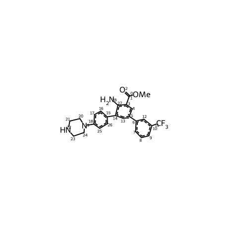 COC(=O)c1cc(-c2cccc(C(F)(F)F)c2)cc(-c2ccc(N3CCNCC3)cc2)c1N